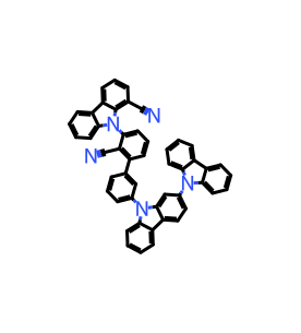 N#Cc1c(-c2cccc(-n3c4ccccc4c4ccc(-n5c6ccccc6c6ccccc65)cc43)c2)cccc1-n1c2ccccc2c2cccc(C#N)c21